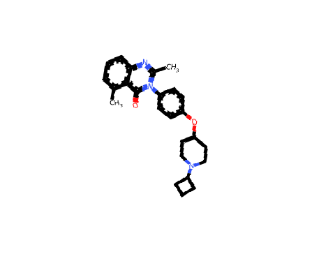 Cc1cccc2nc(C)n(-c3ccc(OC4CCN(C5CCC5)CC4)cc3)c(=O)c12